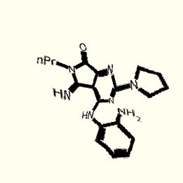 CCCN1C(=N)c2c(Nc3ccccc3N)nc(N3CCCC3)nc2C1=O